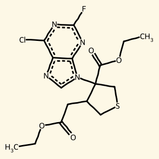 CCOC(=O)CC1CSCC1(C(=O)OCC)n1cnc2c(Cl)nc(F)nc21